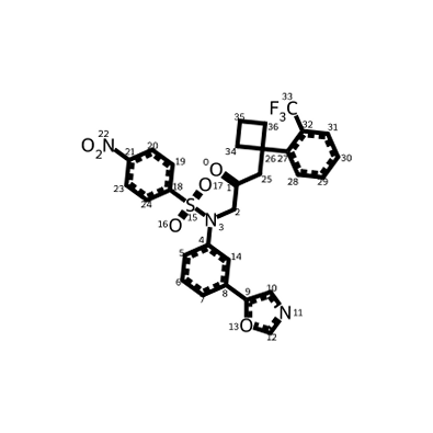 O=C(CN(c1cccc(-c2cnco2)c1)S(=O)(=O)c1ccc([N+](=O)[O-])cc1)CC1(c2ccccc2C(F)(F)F)CCC1